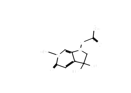 CCCCn1cc2c(cc1=O)C(C)(C)CN2OC(=O)C(C)(C)C